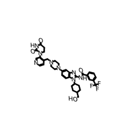 O=C1CCN(c2cnccc2CN2CCN(c3ccc4c(c3)nc(NC(=O)c3cccc(C(F)(F)F)c3)n4C3CCC(CO)CC3)CC2)C(=O)N1